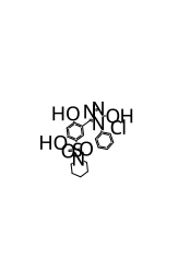 O=S(=O)(c1cc(-c2nnc(O)n2-c2ccccc2Cl)c(O)cc1O)N1CCCCC1